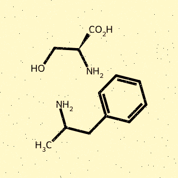 CC(N)Cc1ccccc1.N[C@@H](CO)C(=O)O